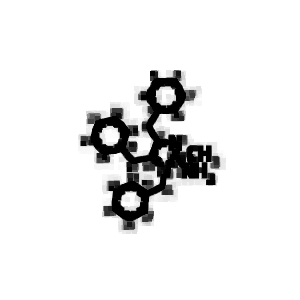 CN.c1ccc(Cc2nnn(Cc3ccccc3)c2Cc2ccccc2)cc1